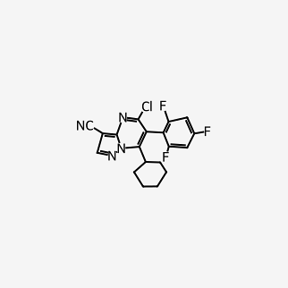 N#Cc1cnn2c(C3CCCCC3)c(-c3c(F)cc(F)cc3F)c(Cl)nc12